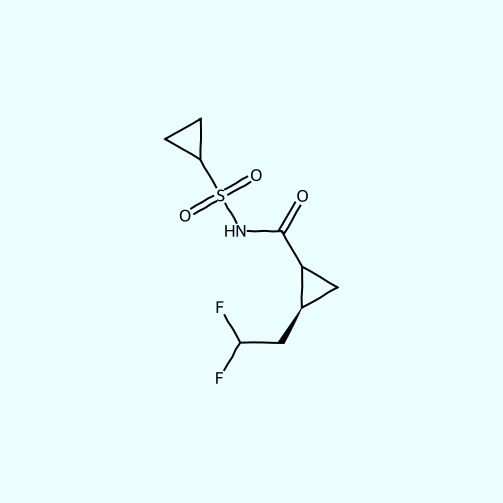 O=C(NS(=O)(=O)C1CC1)C1C[C@H]1CC(F)F